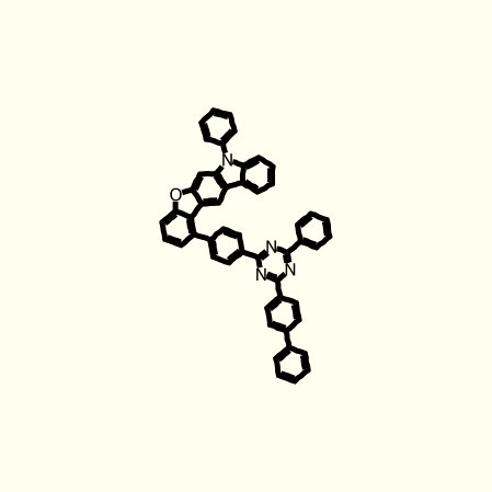 c1ccc(-c2ccc(-c3nc(-c4ccccc4)nc(-c4ccc(-c5cccc6oc7cc8c(cc7c56)c5ccccc5n8-c5ccccc5)cc4)n3)cc2)cc1